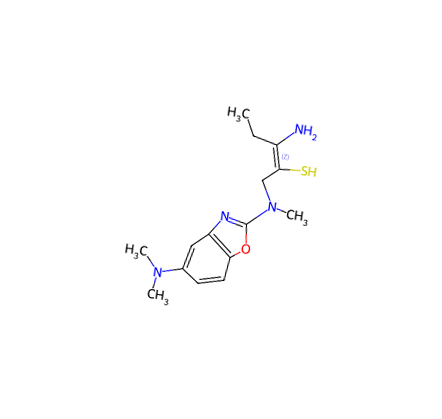 CC/C(N)=C(/S)CN(C)c1nc2cc(N(C)C)ccc2o1